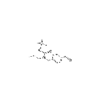 CCCN(Cc1ccc(C=O)cc1)C(=O)OC(C)(C)C